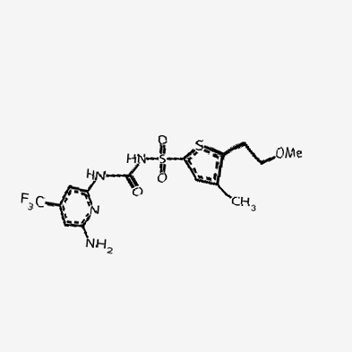 COCCc1sc(S(=O)(=O)NC(=O)Nc2cc(C(F)(F)F)cc(N)n2)cc1C